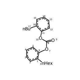 CCCCCCc1ccccc1OC(=O)Oc1ccccc1CCCC